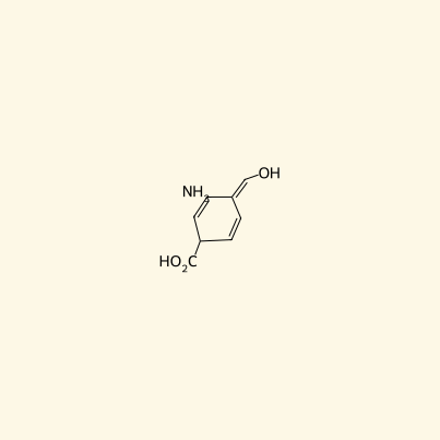 N.O=C(O)C1C=CC(=CO)C=C1